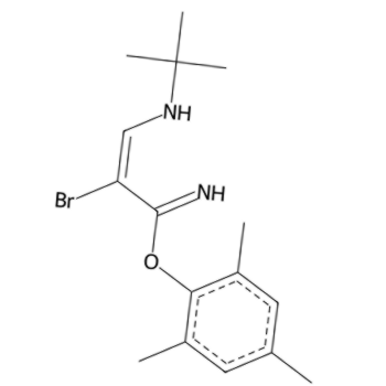 Cc1cc(C)c(OC(=N)/C(Br)=C\NC(C)(C)C)c(C)c1